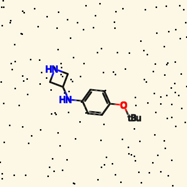 CC(C)(C)Oc1ccc(NC2CNC2)cc1